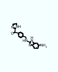 Nc1ccc2nc(NCc3ccc(C(=O)c4ncc[nH]4)cc3)[nH]c2c1